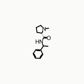 CC(NC(=O)[C@@H]1CCCN1C)c1ccccc1